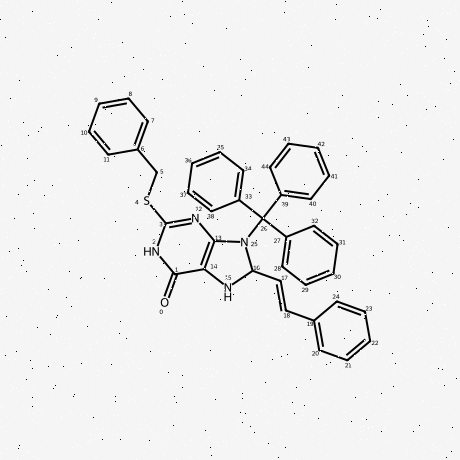 O=c1[nH]c(SCc2ccccc2)nc2c1NC(/C=C/c1ccccc1)N2C(c1ccccc1)(c1ccccc1)c1ccccc1